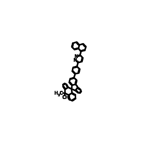 CC1(C)c2ccccc2C2(c3ccccc3-c3cc(-c4ccc(-c5ccc(-c6cccc7ccccc67)nn5)cc4)ccc32)c2ccccc21